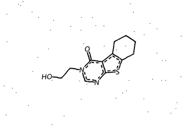 O=c1c2c3c(sc2ncn1CCO)CCCC3